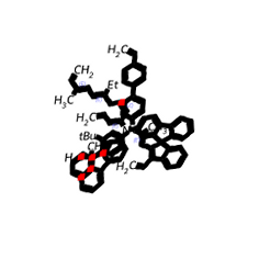 C=C/C=C(\C=C/C/C(=C/C=C(\C)C=C)CC)N(c1ccc2c(c1)C(C)(C)c1ccccc1-2)c1ccc2c(c1)C1(C(/C=C(\C)N(c3ccc(-c4ccc(C=C)cc4)cc3)c3ccc(-c4ccccc4)c(C(C)(C)C)c3)=C(C=C)c3ccccc31)c1ccccc1-2